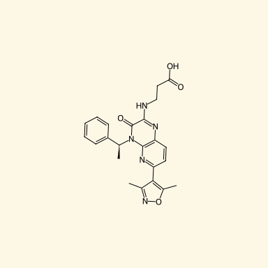 Cc1noc(C)c1-c1ccc2nc(NCCC(=O)O)c(=O)n([C@@H](C)c3ccccc3)c2n1